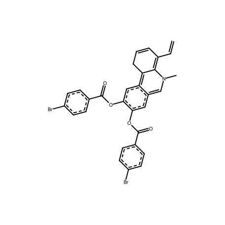 C=CC1=C2C(=c3cc(OC(=O)c4ccc(Br)cc4)c(OC(=O)c4ccc(Br)cc4)cc3=CN2C)CC=C1